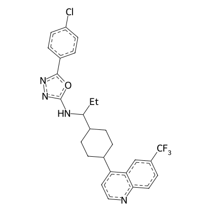 CCC(Nc1nnc(-c2ccc(Cl)cc2)o1)C1CCC(c2ccnc3ccc(C(F)(F)F)cc23)CC1